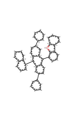 c1ccc(-c2ccc3c(-c4cccc5c4oc4ccccc45)c4cc(-c5ccccc5)ccc4c(-c4cccc5ccccc45)c3c2)cc1